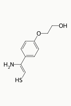 N/C(=C\S)c1ccc(OCCO)cc1